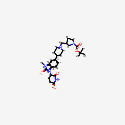 Cn1c(=O)n(C2CCC(=O)NC2=O)c2ccc(C3CCN(CC4CCN(C(=O)OC(C)(C)C)C4)CC3)cc21